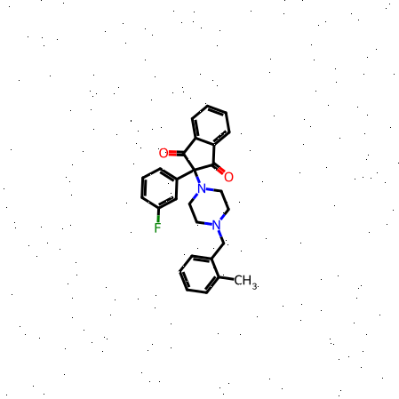 Cc1ccccc1CN1CCN(C2(c3cccc(F)c3)C(=O)c3ccccc3C2=O)CC1